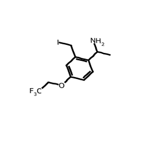 CC(N)c1ccc(OCC(F)(F)F)cc1CI